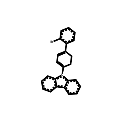 Brc1ccccc1C1=CC=C(n2c3ccccc3c3ccccc32)CC1